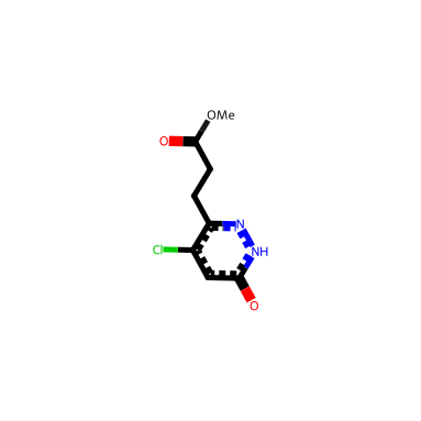 COC(=O)CCc1n[nH]c(=O)cc1Cl